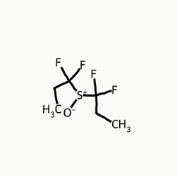 CCC(F)(F)[S+]([O-])C(F)(F)CC